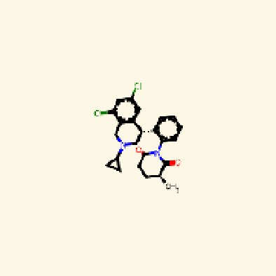 C[C@H]1CCC(=O)N(c2ccccc2[C@@H]2CN(C3CC3)Cc3c(Cl)cc(Cl)cc32)C1=O